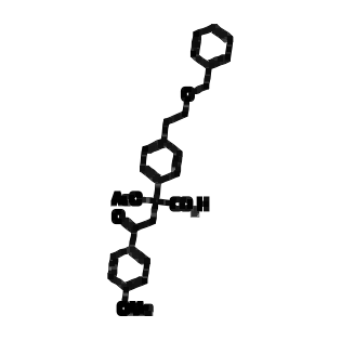 COc1ccc(C(=O)CC(OC(C)=O)(C(=O)O)c2ccc(CCOCc3ccccc3)cc2)cc1